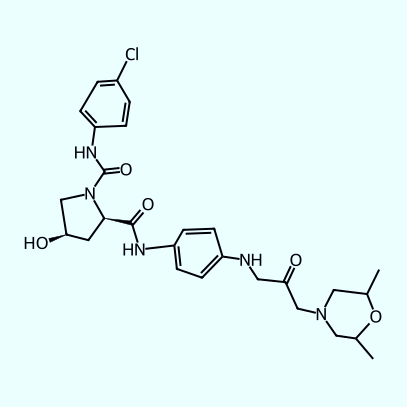 CC1CN(CC(=O)CNc2ccc(NC(=O)[C@H]3C[C@@H](O)CN3C(=O)Nc3ccc(Cl)cc3)cc2)CC(C)O1